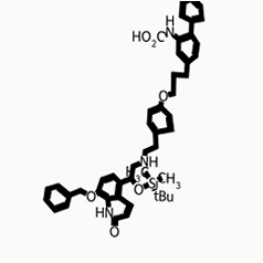 CC(C)(C)[Si](C)(C)OC(CNCCc1ccc(OCCCc2ccc(-c3ccccc3)c(NC(=O)O)c2)cc1)c1ccc(OCc2ccccc2)c2[nH]c(=O)ccc12